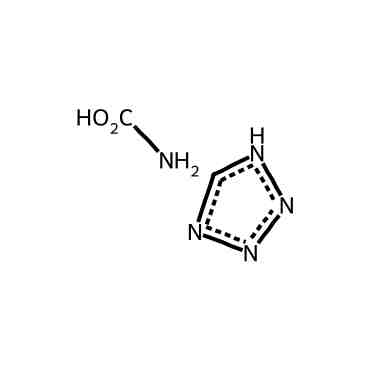 NC(=O)O.c1nnn[nH]1